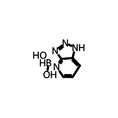 OBO.c1cnc2nn[nH]c2c1